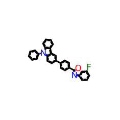 Fc1cccc2nc(-c3ccc(-c4ccc5c(c4)c4ccccc4n5-c4ccccc4)cc3)oc12